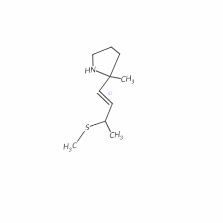 CSC(C)/C=C/C1(C)CCCN1